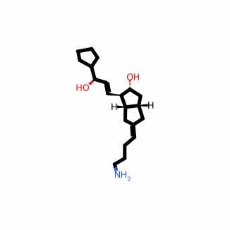 NCCCC=C1C[C@H]2C[C@@H](O)[C@H](C=C[C@@H](O)C3CCCC3)[C@H]2C1